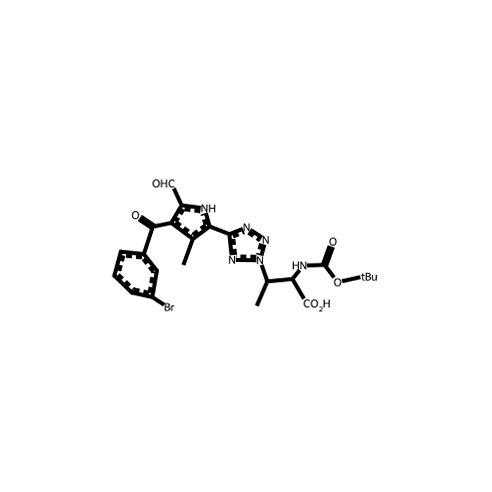 Cc1c(-c2nnn(C(C)C(NC(=O)OC(C)(C)C)C(=O)O)n2)[nH]c(C=O)c1C(=O)c1cccc(Br)c1